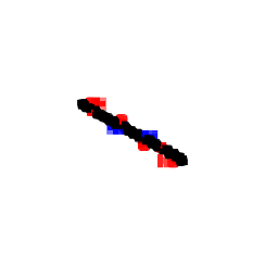 CCCC(O)CCCCCCCCCC(=O)NCCCCCCNC(=O)CCCCCCCCCC(O)CCC